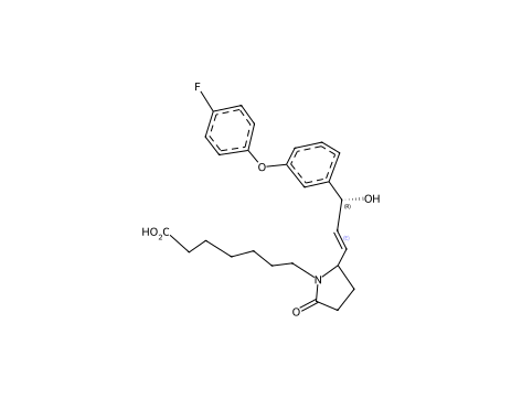 O=C(O)CCCCCCN1C(=O)CCC1/C=C/[C@@H](O)c1cccc(Oc2ccc(F)cc2)c1